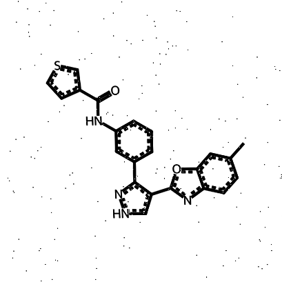 Cc1ccc2nc(-c3c[nH]nc3-c3cccc(NC(=O)c4ccsc4)c3)oc2c1